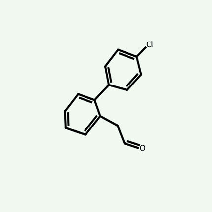 O=CCc1ccccc1-c1ccc(Cl)cc1